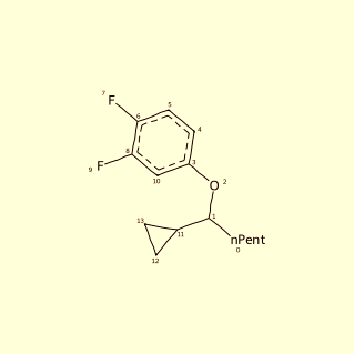 CCCCCC(Oc1ccc(F)c(F)c1)C1CC1